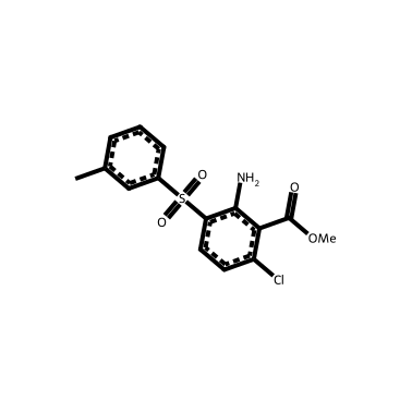 COC(=O)c1c(Cl)ccc(S(=O)(=O)c2cccc(C)c2)c1N